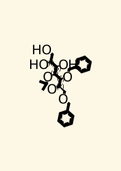 CC1(C)O[C@@H]([C@@H](O)[C@H](O)CO)[C@@H](OCc2ccccc2)[C@@H](COCc2ccccc2)O1